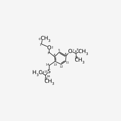 CCOCc1cc(OC(C)C)ccc1CSC(C)C